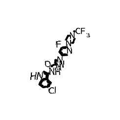 O=C(Nc1c[nH]c2ccc(Cl)cc12)c1cn(-c2cnc(N3CCN(CC(F)(F)F)CC3)c(F)c2)nn1